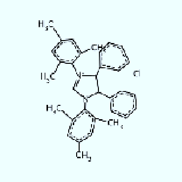 Cc1cc(C)c(N2C=[N+](c3c(C)cc(C)cc3C)C(c3ccccc3)C2c2ccccc2)c(C)c1.[Cl-]